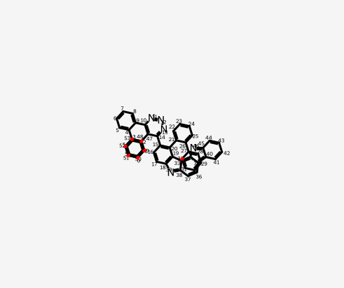 c1ccc(-c2ccccc2-c2nnnc(-c3ccc4c(c3-c3ccccc3-c3ccccc3)-c3c5c(ccc3=N4)=c3ccccc3=N5)c2-c2ccccc2)cc1